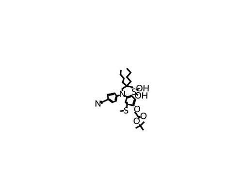 CCCCC1(CCCC)CN(c2ccc(C#N)cc2)c2cc(SC)c(OCC(=O)OC(C)(C)C)cc2S(O)(O)C1